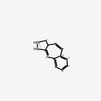 C1=CC2CNNC2=Nc2ccccc21